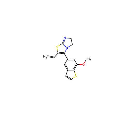 C=CC1=C(c2cc(OC)c3sccc3c2)N2CCN=C2S1